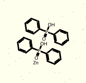 O=P(O)(c1ccccc1)c1ccccc1.O=P(O)(c1ccccc1)c1ccccc1.[Zn]